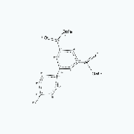 COC(=O)c1cc(C(=O)OC)cc(-c2ccc(C)cc2)c1